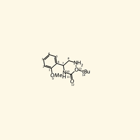 COc1ccccc1C(CN)NC(=O)OC(C)(C)C